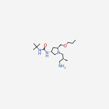 CCCOC[C@@H]1C[C@@H](NC(=O)NC(C)(C)C)CN1C[C@@H](C)CN